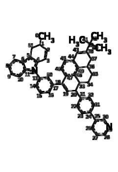 CC1C=Cc2c(c3ccccc3n2-c2cccc(C3=CC(c4ccc(-c5cccnc5)cc4)C4CCC5CC(C(C)(C)C)=Cc6ccc3c4c65)c2)C1